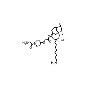 C[C@@H]1CC2C[C@@]3(CCC2=O)C[C@]1(C)[C@H](OC(=O)CSC1CCN(C(=O)CN)CC1)C[C@](C)(CCCCCCCCN)[C@@H](O)[C@@H]3C